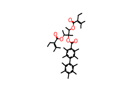 CCC(C(=O)OC(C)C(C)(OC(=O)c1c(C)c(C)c(-c2c(C)c(C)c(C)c(C)c2C)c(C)c1C)C(C)OC(=O)C(CC)=C(C)C)=C(C)C